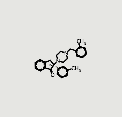 Cc1cccc([C@@]2(N3CCN(Cc4ccccc4C)CC3)Cc3ccccc3C2=O)c1